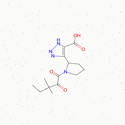 CCC(C)(C)C(=O)C(=O)N1CCCC1c1nn[nH]c1C(=O)O